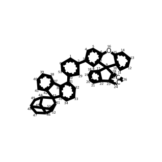 c1cc(-c2ccc3c(c2)C2(c4ccccc4O3)c3ccccc3-c3ccccc32)cc(-c2cccc3c2-c2ccccc2C32C3CC4CC(C3)CC2C4)c1